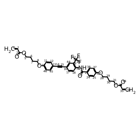 C=CC(=O)OCCCCOc1ccc(C#Cc2ccc(NC(=O)c3ccc(OCCCCOC(=O)C=C)cc3)c(C(F)(F)F)c2)cc1